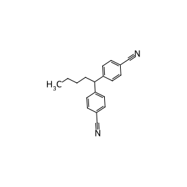 CCCCC(c1ccc(C#N)cc1)c1ccc(C#N)cc1